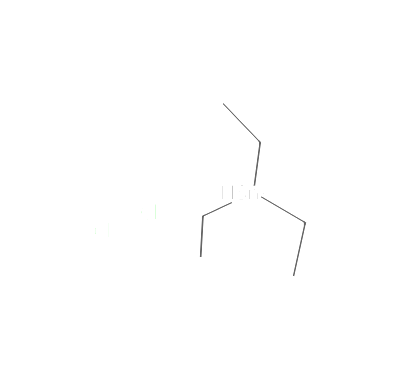 C[CH2][SnH+2]([CH2]C)[CH2]C.[Cl-].[Cl-]